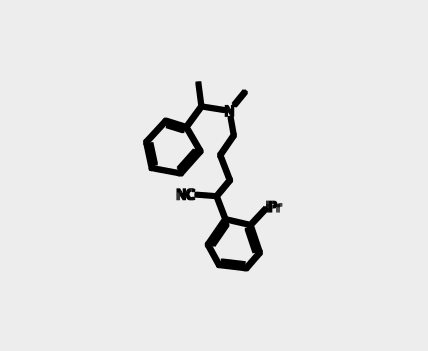 CC(C)c1ccccc1C(C#N)CCCN(C)C(C)c1ccccc1